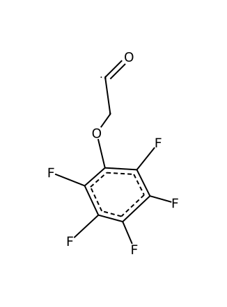 O=[C]COc1c(F)c(F)c(F)c(F)c1F